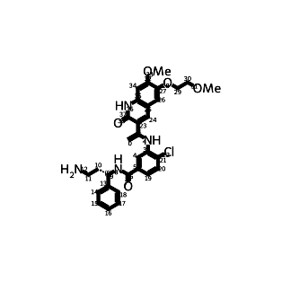 C=C(Nc1cc(C(=O)N[C@@H](CCN)c2ccccc2)ccc1Cl)c1cc2cc(OCCOC)c(OC)cc2[nH]c1=O